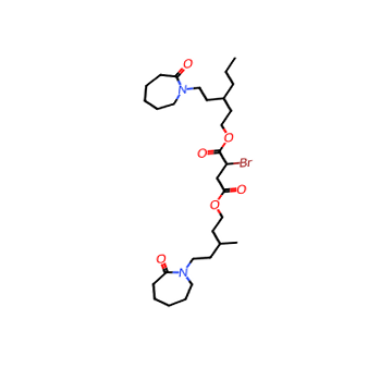 CCCC(CCOC(=O)C(Br)CC(=O)OCCC(C)CCN1CCCCCC1=O)CCN1CCCCCC1=O